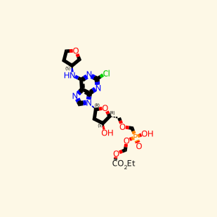 CCOC(=O)OCOP(=O)(O)COC[C@H]1O[C@@H](n2cnc3c(N[C@H]4CCOC4)nc(Cl)nc32)C[C@@H]1O